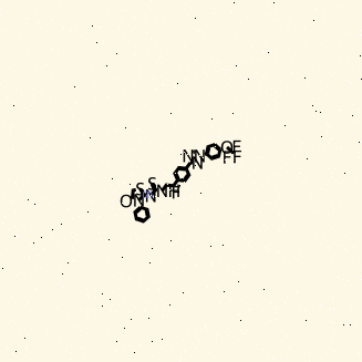 O=C1CS/C(=N\C(=S)NCC(F)c2ccc(-c3ncn(-c4ccc(OC(F)(F)F)cc4)n3)cc2)N1c1ccccc1